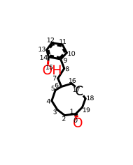 O=C1CCCCC(CCc2ccccc2O)CCCC1